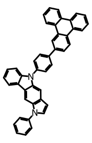 c1ccc(-n2ccc3cc4c(cc32)c2ccccc2n4-c2ccc(-c3ccc4c5ccccc5c5ccccc5c4c3)cc2)cc1